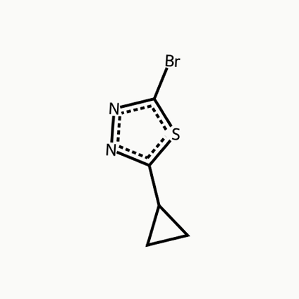 Brc1nnc(C2CC2)s1